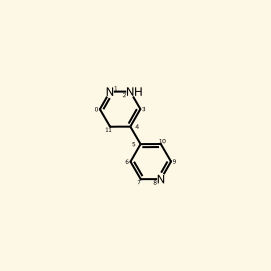 C1=NNC=C(c2ccncc2)C1